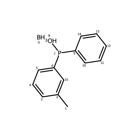 B.Cc1cccc(P(O)c2ccccc2)c1